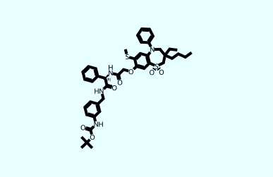 CCCCC1(CC)CN(c2ccccc2)c2cc(SC)c(OCC(=O)N[C@@H](C(=O)NCc3cccc(NC(=O)OC(C)(C)C)c3)c3ccccc3)cc2S(=O)(=O)C1